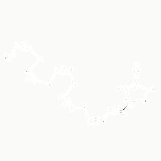 CC/C=C\C/C=C\C/C=C\C/C=C\C/C=C\C=C\[C@@H]1CCC(=O)O1